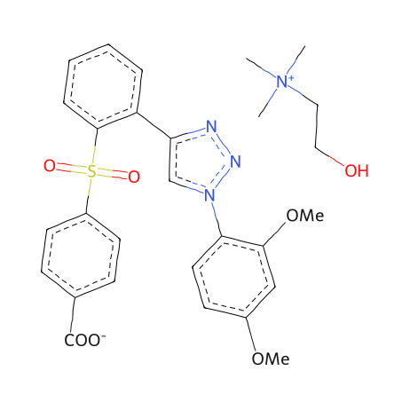 COc1ccc(-n2cc(-c3ccccc3S(=O)(=O)c3ccc(C(=O)[O-])cc3)nn2)c(OC)c1.C[N+](C)(C)CCO